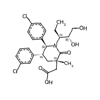 CC[C@@H]([C@@H](O)CO)N1C(=O)[C@](C)(CC(=O)O)C[C@H](c2cccc(Cl)c2)[C@H]1c1ccc(Cl)cc1